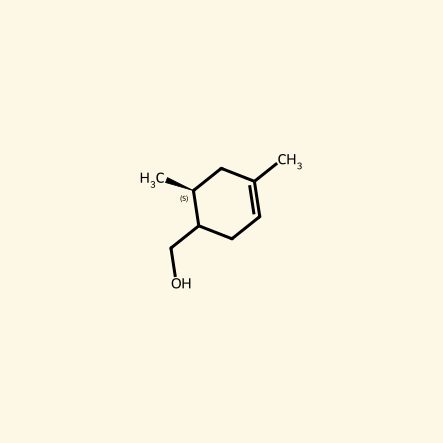 CC1=CCC(CO)[C@@H](C)C1